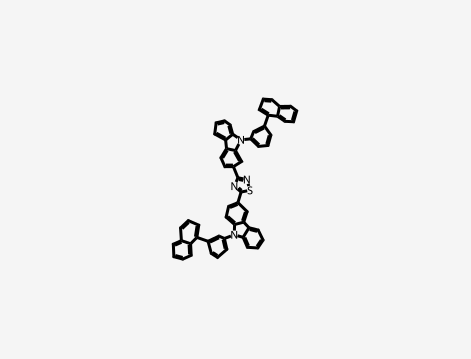 c1cc(-c2cccc3ccccc23)cc(-n2c3ccccc3c3cc(-c4nc(-c5ccc6c7ccccc7n(-c7cccc(-c8cccc9ccccc89)c7)c6c5)ns4)ccc32)c1